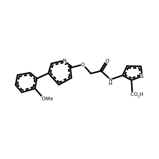 COc1ccccc1-c1ccc(OCC(=O)Nc2ccsc2C(=O)O)nc1